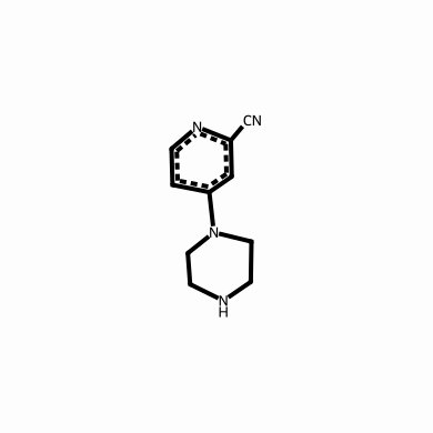 N#Cc1cc(N2CCNCC2)ccn1